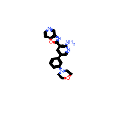 Nc1ncc(-c2cccc(N3CCOCC3)c2)cc1-c1nc2cnccc2o1